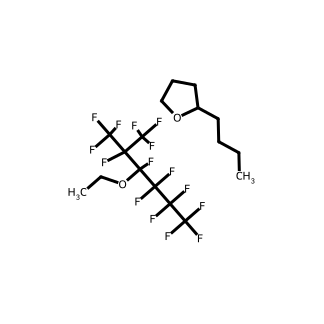 CCCCC1CCCO1.CCOC(F)(C(F)(F)C(F)(F)C(F)(F)F)C(F)(C(F)(F)F)C(F)(F)F